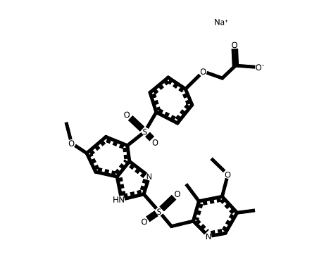 COc1cc(S(=O)(=O)c2ccc(OCC(=O)[O-])cc2)c2nc(S(=O)(=O)Cc3ncc(C)c(OC)c3C)[nH]c2c1.[Na+]